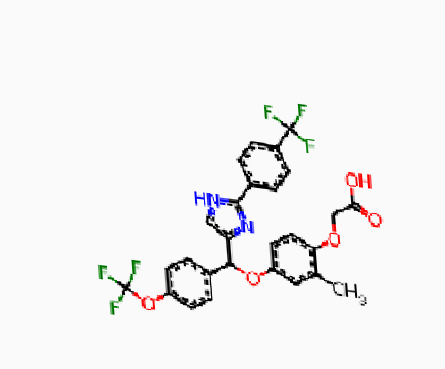 Cc1cc(OC(c2ccc(OC(F)(F)F)cc2)c2c[nH]c(-c3ccc(C(F)(F)F)cc3)n2)ccc1OCC(=O)O